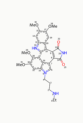 CCNCCCn1cc(C2=C(c3c[nH]c4cc(OC)c(OC)cc34)C(=O)NC2=O)c2cc(OC)c(OC)cc21